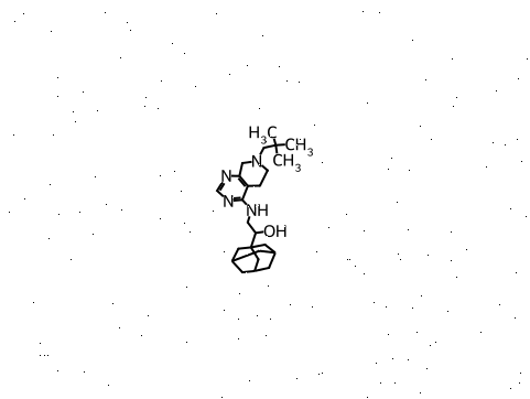 CC(C)(C)CN1CCc2c(ncnc2NCC(O)C23CC4CC(CC(C4)C2)C3)C1